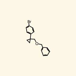 Brc1ccc(C2(COCc3ccccc3)CC2)cc1